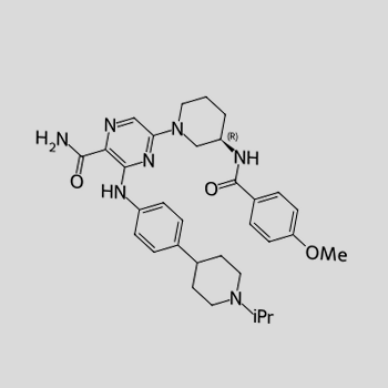 COc1ccc(C(=O)N[C@@H]2CCCN(c3cnc(C(N)=O)c(Nc4ccc(C5CCN(C(C)C)CC5)cc4)n3)C2)cc1